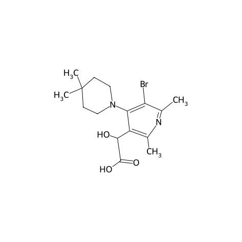 Cc1nc(C)c(C(O)C(=O)O)c(N2CCC(C)(C)CC2)c1Br